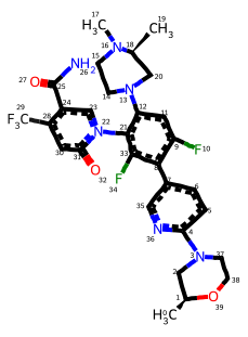 C[C@H]1CN(c2ccc(-c3c(F)cc(N4CCN(C)[C@@H](C)C4)c(-n4cc(C(N)=O)c(C(F)(F)F)cc4=O)c3F)cn2)CCO1